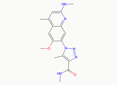 CNC(=O)c1nnn(-c2cc3nc(NC)cc(C)c3cc2OC)c1C